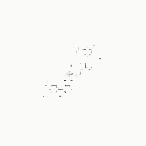 CCCc1ccc2c(c1-c1cc(C(F)(F)F)cc(C(F)(F)F)c1)C=C(C(C)C)C2C[SiH2]CC1C(C(C)C)=Cc2c1ccc(CCC)c2-c1cc(C(F)(F)F)cc(C(F)(F)F)c1